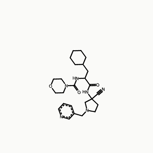 N#CC1(NC(=O)C(CC2CCCCC2)NC(=O)N2CCOCC2)CCN(Cc2cccnc2)C1